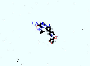 NC(=O)c1cnc(Nc2ccc(C3CCN(C(=O)C4CCOCC4)CC3)cc2)nc1NC1CC1